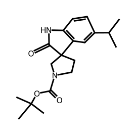 CC(C)c1ccc2c(c1)C1(CCN(C(=O)OC(C)(C)C)C1)C(=O)N2